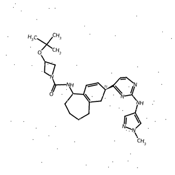 Cn1cc(Nc2nccc([C@@H]3C=CC4=C(CCCCC4NC(=O)N4CC(OC(C)(C)C)C4)C3)n2)cn1